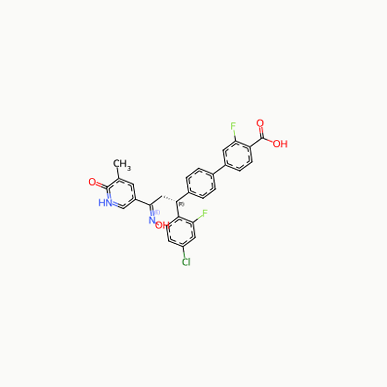 Cc1cc(/C(C[C@H](c2ccc(-c3ccc(C(=O)O)c(F)c3)cc2)c2ccc(Cl)cc2F)=N/O)c[nH]c1=O